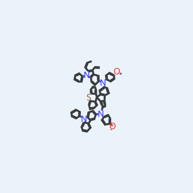 C=Cc1c(/C=C\C)n(-c2ccccc2)c2ccc(N(c3ccc(OC)cc3)c3ccc4c(c3)C3(c5ccccc5Sc5ccccc53)c3cc(N(c5ccc(OC)cc5)c5ccc6c(c5)c5ccccc5n6-c5ccccc5)ccc3-4)cc12